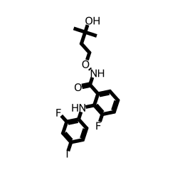 CC(C)(O)CCONC(=O)c1cccc(F)c1Nc1ccc(I)cc1F